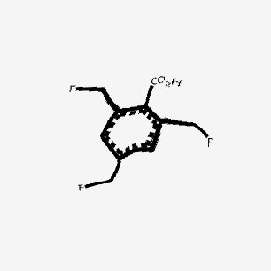 O=C(O)c1c(CF)cc(CF)cc1CF